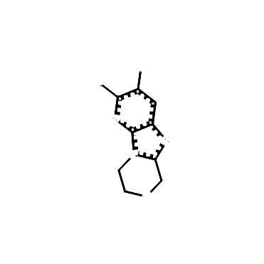 CC(C)c1cc2nc3n(c2nc1Cl)CCOC3